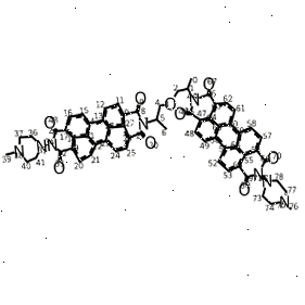 CC(COCC(C)N1C(=O)c2ccc3c4ccc5c6c(ccc(c7ccc(c2c37)C1=O)c64)C(=O)N(N1CCN(C)CC1)C5=O)N1C(=O)c2ccc3c4ccc5c6c(ccc(c7ccc(c2c37)C1=O)c64)C(=O)N(N1CCN(C)CC1)C5=O